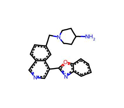 NC1CCN(Cc2ccc3cncc(-c4nc5ccccc5o4)c3c2)CC1